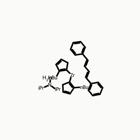 C(C=Cc1ccccc1)=Cc1ccccc1.CC(C)[N]([InH2])C(C)C.CCCCC1=[C]([Zr][C]2=C(CCCC)C=CC2)CC=C1